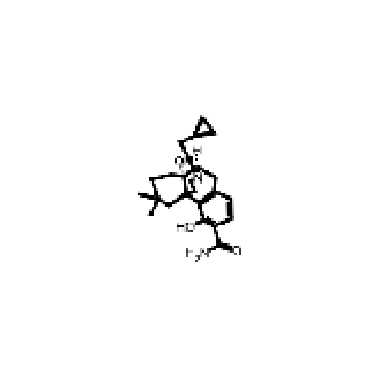 CC1(C)CC[C@@]2(O)[C@H]3Cc4ccc(C(N)=O)c(O)c4C2(CCN3CC2CC2)C1